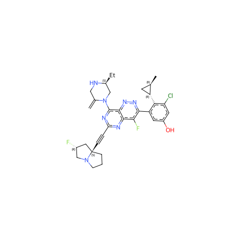 C=C1CN[C@@H](CC)CN1c1nc(C#C[C@@]23CCCN2C[C@H](F)C3)nc2c(F)c(-c3cc(O)cc(Cl)c3[C@@H]3C[C@H]3C)nnc12